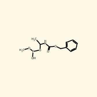 COP(O)OC(C)NC(=O)OCc1ccccc1